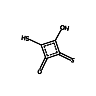 O=c1c(S)c(O)c1=S